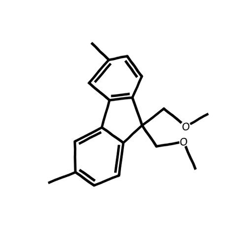 COCC1(COC)c2ccc(C)cc2-c2cc(C)ccc21